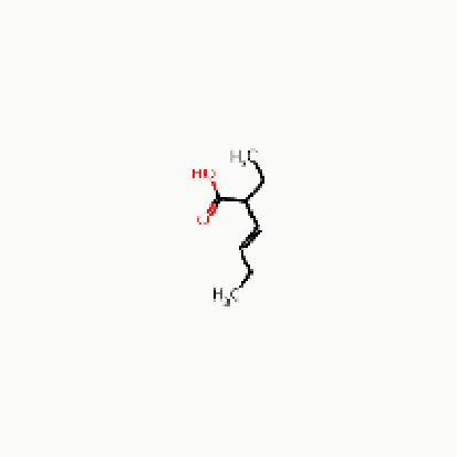 CC/C=C/C(CC)C(=O)O